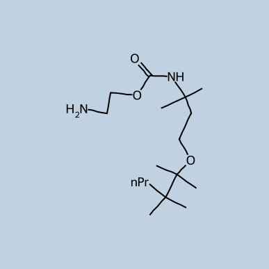 CCCC(C)(C)C(C)(C)OCCC(C)(C)NC(=O)OCCN